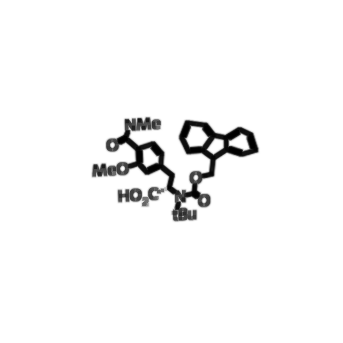 CNC(=O)c1ccc(C[C@@H](C(=O)O)N(C(=O)OCC2c3ccccc3-c3ccccc32)C(C)(C)C)cc1OC